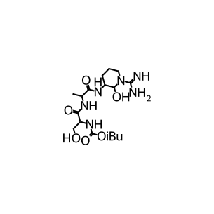 CC(C)COC(=O)NC(CO)C(=O)NC(C)C(=O)NC1CCCN(C(=N)N)C1O